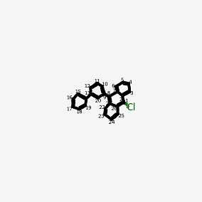 Clc1c2ccccc2c(-c2cccc(-c3ccccc3)c2)c2ccccc12